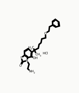 CC(C)(CCCCCOCCc1ccccc1)c1ccc2sc(=O)n(CCN)c2c1O.Cl